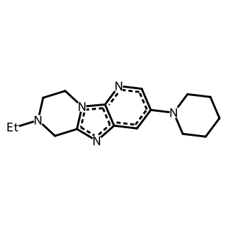 CCN1CCn2c(nc3cc(N4CCCCC4)cnc32)C1